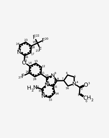 C=CC(=O)N1CCC(c2nc(-c3ccc(Oc4cc(C(F)(F)F)ccn4)c(F)c3)n3c(N)nccc23)C1